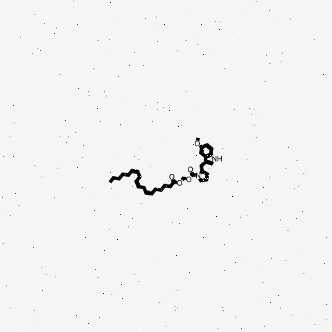 CCCCC/C=C\C/C=C\C/C=C\CCCCC(=O)OCOC(=O)N1CCCC1Cc1c[nH]c2ccc(OC)cc12